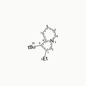 CCc1cn2ccccc2c1C(C)(C)C